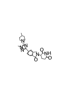 CC1CCN(c2nc(-c3ccc4c(c3)CN(C3CCC(=O)NC3=O)C4=O)nn2C)CC1